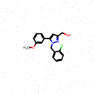 COc1cccc(-c2cc(CO)nn2Cc2ccccc2Cl)c1